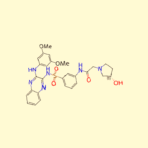 COc1cc(Nc2nc3ccccc3nc2NS(=O)(=O)c2cccc(NC(=O)CN3CC[C@H](O)C3)c2)cc(OC)c1